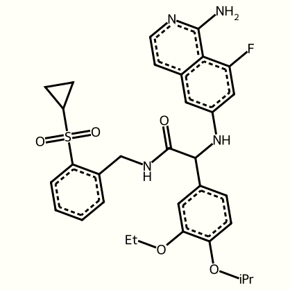 CCOc1cc(C(Nc2cc(F)c3c(N)nccc3c2)C(=O)NCc2ccccc2S(=O)(=O)C2CC2)ccc1OC(C)C